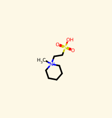 C[N+]1(CCS(=O)(=O)O)CCCCC1